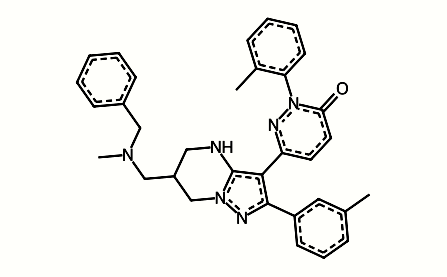 Cc1cccc(-c2nn3c(c2-c2ccc(=O)n(-c4ccccc4C)n2)NCC(CN(C)Cc2ccccc2)C3)c1